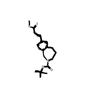 COC(=O)/C=C/c1ccc2c(c1)CCCN(C(=O)OC(C)(C)C)C2